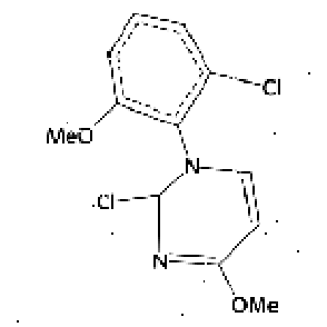 COC1=NC(Cl)N(c2c(Cl)cccc2OC)C=C1